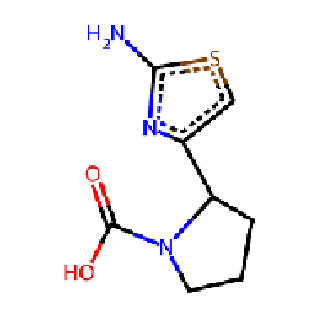 Nc1nc(C2CCCN2C(=O)O)cs1